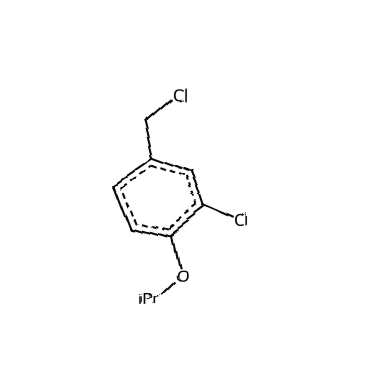 CC(C)Oc1ccc(CCl)cc1Cl